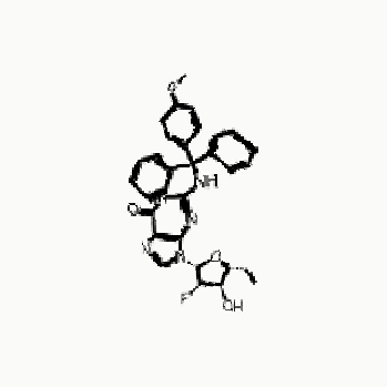 CC[C@H]1O[C@@H](n2cnc3c(=O)[nH]c(NC(c4ccccc4)(c4ccccc4)c4ccc(OC)cc4)nc32)[C@H](F)[C@@H]1O